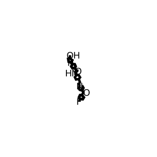 O=C(NC1CCC(CCN2CCC(C(=O)c3ccc(F)cc3)CC2)CC1)c1ccc(N2CCC(O)C2)cc1